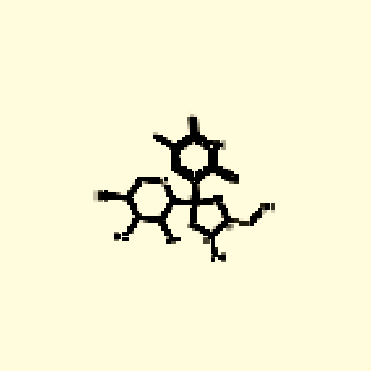 Cc1cn([C@@]2(C3OCC(O)C(O)C3O)C[C@H](O)[C@@H](CO)O2)c(=O)[nH]c1=O